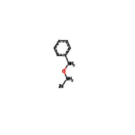 [Zn][SiH2]O[SiH2]c1ccccc1